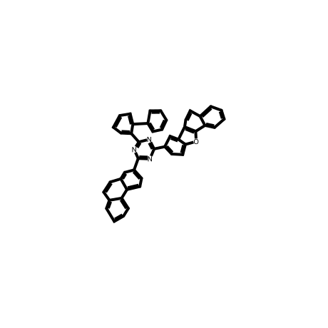 c1ccc(-c2ccccc2-c2nc(-c3ccc4c(ccc5ccccc54)c3)nc(-c3ccc4oc5c6ccccc6ccc5c4c3)n2)cc1